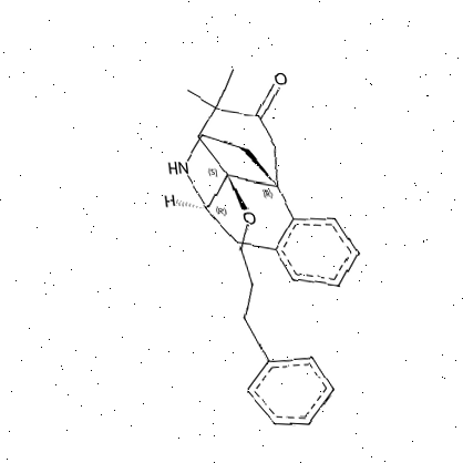 CC1(C)C[C@@]2(OCCCc3ccccc3)[C@H]3Cc4ccccc4[C@@]2(CCN3)CC1=O